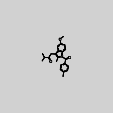 COc1ccc2c(c1)c(CC(=O)C(C)C)c(C)n2C(=O)c1ccc(C)cc1